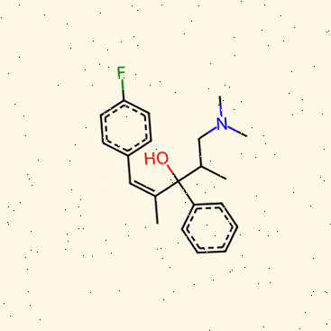 CC(=Cc1ccc(F)cc1)C(O)(c1ccccc1)C(C)CN(C)C